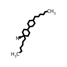 CCCCCCC1CCC(C2CCC(C#N)(CCCCCC)CC2)CC1